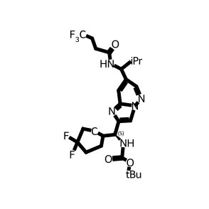 CC(C)C(NC(=O)CCC(F)(F)F)c1cnn2cc([C@@H](NC(=O)OC(C)(C)C)C3CCC(F)(F)CC3)nc2c1